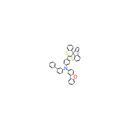 c1ccc(-c2cccc(N(c3ccc4c5c(sc4c3)C3(c4ccccc4S5)c4ccccc4-c4ccccc43)c3ccc4oc5ccccc5c4c3)c2)cc1